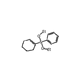 CCO[Si](OCC)(C1=CCCCC1)c1ccccc1